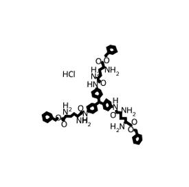 Cl.NC(CC[C@H](N)C(=O)Nc1ccc(C(c2ccc(NC(=O)[C@@H](N)CCC(N)C(=O)OCc3ccccc3)cc2)c2ccc(NC(=O)[C@@H](N)CCC(N)C(=O)OCc3ccccc3)cc2)cc1)C(=O)OCc1ccccc1